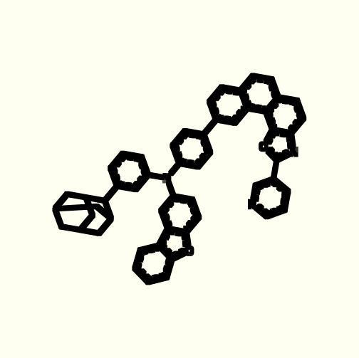 c1cncc(-c2nc3ccc4ccc5ccc(-c6ccc(N(c7cccc(C8C9CC%10CC(C9)CC8C%10)c7)c7ccc8oc9ccccc9c8c7)cc6)cc5c4c3o2)c1